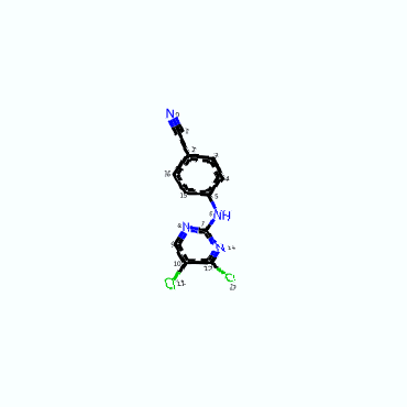 N#Cc1ccc(Nc2ncc(Cl)c(Cl)n2)cc1